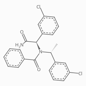 C[C@H](c1cccc(Cl)c1)N(C(=O)c1ccccc1)[C@@H](C(N)=O)c1cccc(Cl)c1